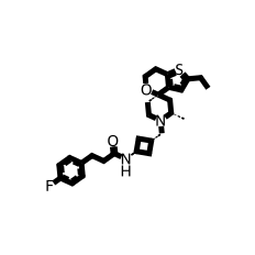 CCc1cc2c(s1)CCO[C@@]21CCN(C[C@H]2C[C@@H](NC(=O)CCc3ccc(F)cc3)C2)[C@@H](C)C1